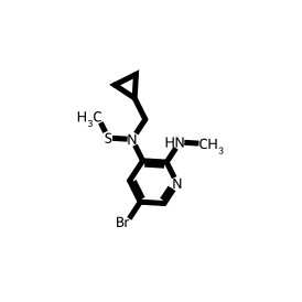 CNc1ncc(Br)cc1N(CC1CC1)SC